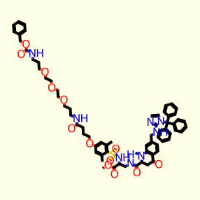 COC(=O)C(CNC(=O)C1CC(=O)c2ccc(CNc3nccn3C(c3ccccc3)(c3ccccc3)c3ccccc3)cc2N1C)NS(=O)(=O)c1c(C)cc(OCCCC(=O)NCCCOCCOCCOCCCNC(=O)OCc2ccccc2)cc1C